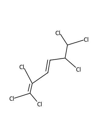 ClC(Cl)=C(Cl)C=CC(Cl)C(Cl)Cl